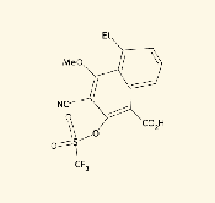 CCc1cccc2c(C(=O)O)c(OS(=O)(=O)C(F)(F)F)c(C#N)c(OC)c12